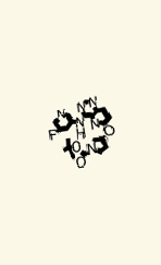 CC(C)(C)OC(=O)N1CC[C@H](Oc2ccc3ncnc(Nc4cncc(F)c4)c3n2)C1